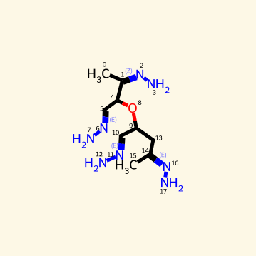 C/C(=N/N)C(/C=N/N)OC(/C=N/N)C/C(C)=N/N